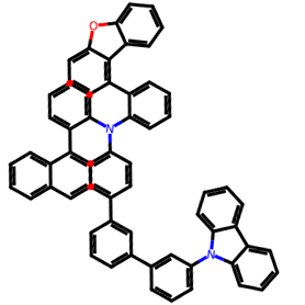 c1cc(-c2ccc(N(c3ccccc3-c3cccc4ccccc34)c3ccccc3-c3cccc4oc5ccccc5c34)cc2)cc(-c2cccc(-n3c4ccccc4c4ccccc43)c2)c1